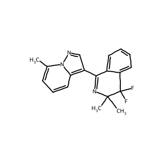 Cc1cccc2c(C3=NC(C)(C)C(F)(F)c4ccccc43)cnn12